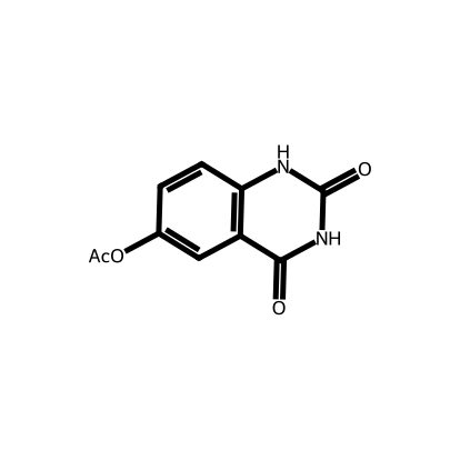 CC(=O)Oc1ccc2[nH]c(=O)[nH]c(=O)c2c1